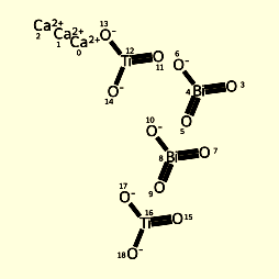 [Ca+2].[Ca+2].[Ca+2].[O]=[Bi](=[O])[O-].[O]=[Bi](=[O])[O-].[O]=[Ti]([O-])[O-].[O]=[Ti]([O-])[O-]